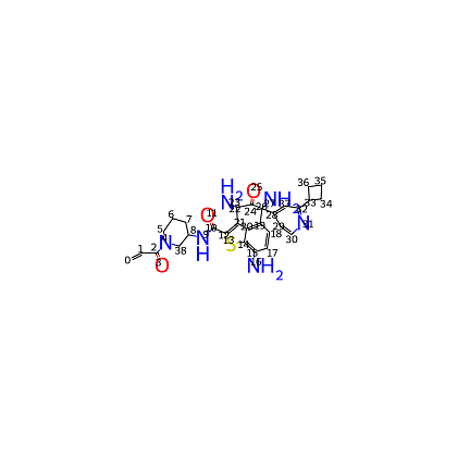 C=CC(=O)N1CCCC(NC(=O)c2sc3c(N)ccc4c3c2C(N)C(=O)C4(N)c2ccnc(C3CCC3)c2)C1